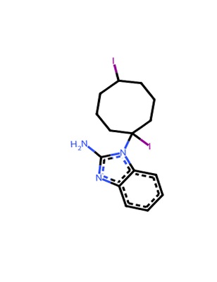 Nc1nc2ccccc2n1C1(I)CCCC(I)CCC1